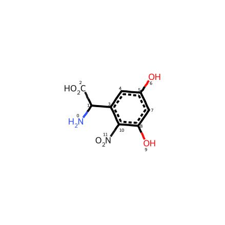 NC(C(=O)O)c1cc(O)cc(O)c1[N+](=O)[O-]